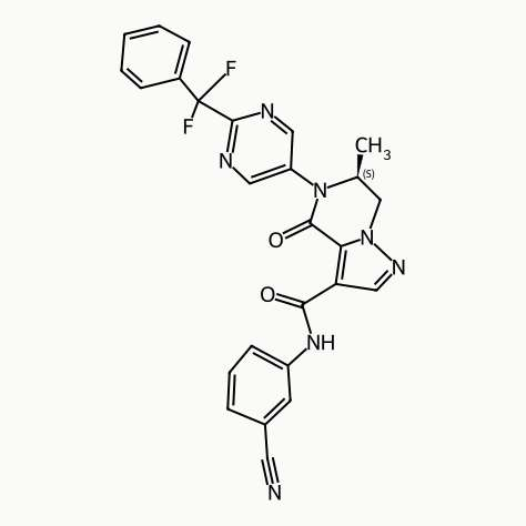 C[C@H]1Cn2ncc(C(=O)Nc3cccc(C#N)c3)c2C(=O)N1c1cnc(C(F)(F)c2ccccc2)nc1